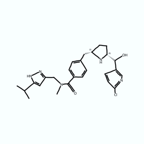 CC(C)c1cc(CN(C)C(=O)c2ccc(C[C@@H]3CC[C@H](C(O)c4ccc(Cl)nc4)N3)cc2)n[nH]1